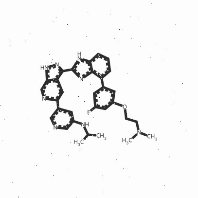 CC(C)Nc1cncc(-c2cc3c(-c4nc5c(-c6cc(F)cc(OCCN(C)C)c6)cccc5[nH]4)n[nH]c3cn2)c1